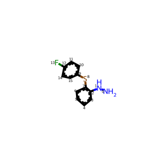 NNc1ccccc1Sc1ccc(F)cc1